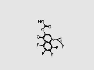 O=C(O)Oc1cn([C@@H]2C[C@H]2F)c2c(F)c(F)c(F)c(F)c2c1=O